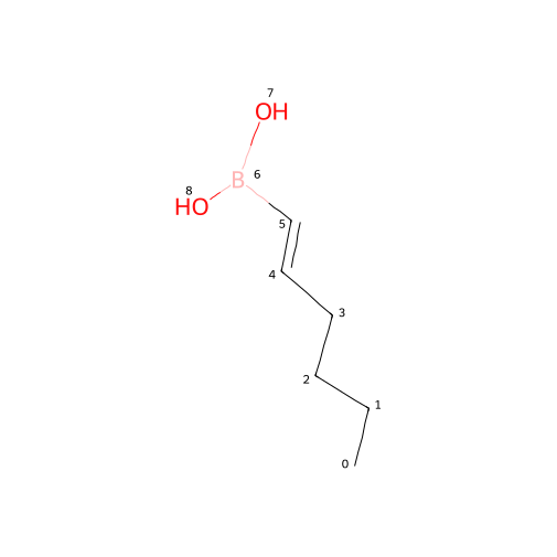 CCCCC=CB(O)O